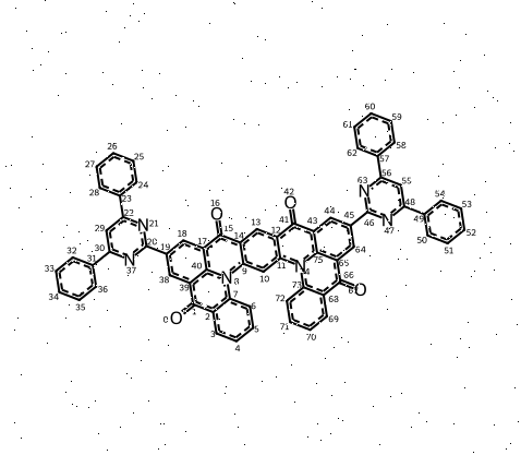 O=c1c2ccccc2n2c3cc4c(cc3c(=O)c3cc(-c5nc(-c6ccccc6)cc(-c6ccccc6)n5)cc1c32)c(=O)c1cc(-c2nc(-c3ccccc3)cc(-c3ccccc3)n2)cc2c(=O)c3ccccc3n4c21